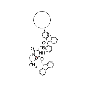 CC1CCN(C(=O)[C@H](CC(=O)OC(c2ccccc2)(c2ccc(C3CCCCCCCCCCCCCC3)cc2)c2ccccc2Cl)NC(=O)OCC2c3ccccc3-c3ccccc32)CC1